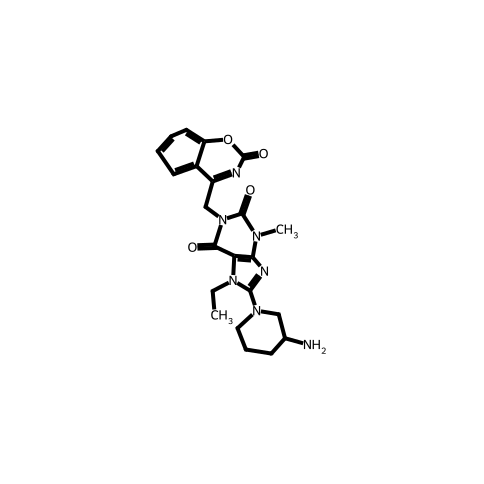 CCn1c(N2CCCC(N)C2)nc2c1c(=O)n(Cc1nc(=O)oc3ccccc13)c(=O)n2C